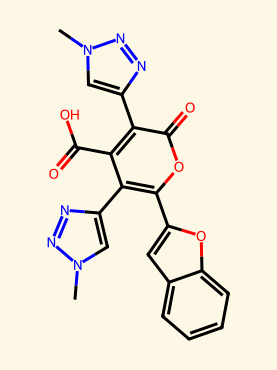 Cn1cc(-c2c(-c3cc4ccccc4o3)oc(=O)c(-c3cn(C)nn3)c2C(=O)O)nn1